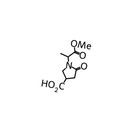 COC(=O)C(C)N1CC(C(=O)O)CC1=O